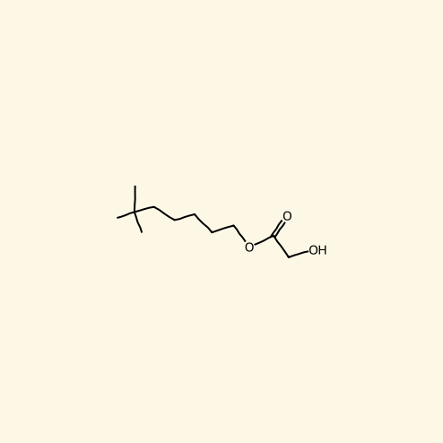 CC(C)(C)CCCCCOC(=O)CO